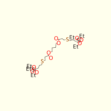 CCO[Si](CCCSCCC(=O)OCCCCOC(=O)CCSCCC[Si](OCC)(OCC)OCC)(OCC)OCC